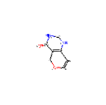 O=C1NCNC2=C1COC=C2